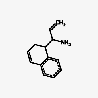 C=CC(N)C1CC=Cc2ccccc21